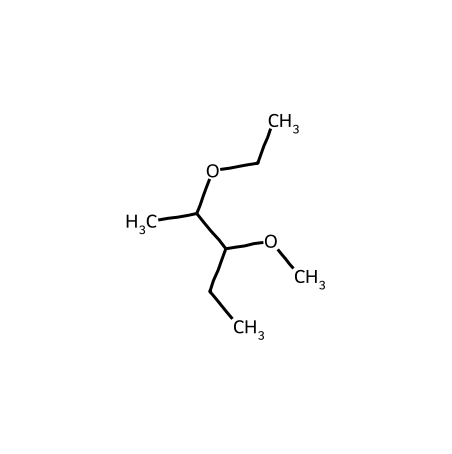 CCOC(C)C(CC)OC